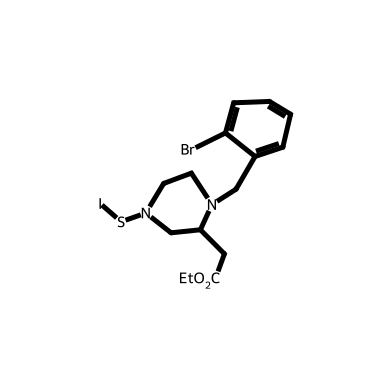 CCOC(=O)CC1CN(SI)CCN1Cc1ccccc1Br